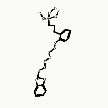 CCO[Si](CCCc1ccccc1SSSSSSSc1nc2ccccc2s1)(OCC)OCC